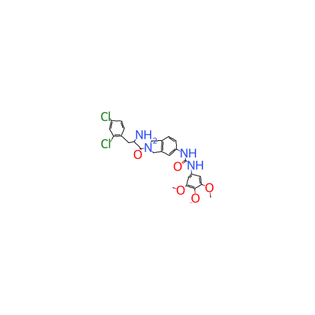 COc1cc(NC(=O)Nc2ccc3c(c2)CN(C(=O)[C@H](N)Cc2ccc(Cl)cc2Cl)C3)cc(OC)c1OC